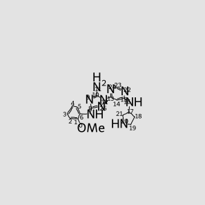 COc1ccccc1Nc1nc(N)n(-c2cc(NC3CCNC3)ncn2)n1